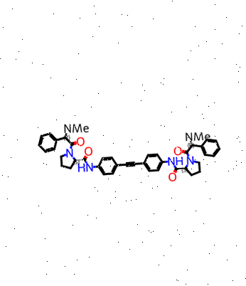 CN[C@@H](C(=O)N1CCC[C@H]1C(=O)Nc1ccc(C#Cc2ccc(NC(=O)[C@@H]3CCCN3C(=O)[C@H](NC)c3ccccc3)cc2)cc1)c1ccccc1